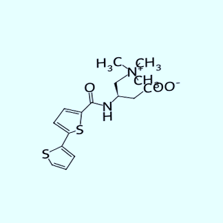 C[N+](C)(C)C[C@@H](CC(=O)[O-])NC(=O)c1ccc(-c2cccs2)s1